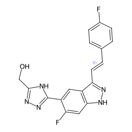 OCc1nnc(-c2cc3c(/C=C/c4ccc(F)cc4)n[nH]c3cc2F)[nH]1